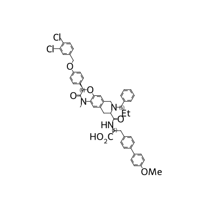 CC[C@@H](c1ccccc1)N1Cc2cc3c(cc2CC1C(=O)N[C@@H](Cc1ccc(-c2ccc(OC)cc2)cc1)C(=O)O)N(C)C(=O)[C@@H](c1ccc(OCc2ccc(Cl)c(Cl)c2)cc1)O3